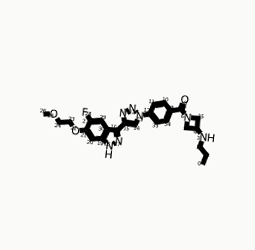 CCCNC1CN(C(=O)c2ccc(-n3cc(-c4n[nH]c5cc(OCCOC)c(F)cc45)nn3)cc2)C1